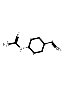 C=C[C@H]1CC[C@H](OC(N)=O)CC1